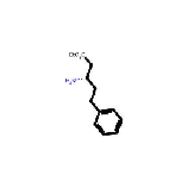 CCOC(=O)C[C@@H](N)CCc1ccccc1